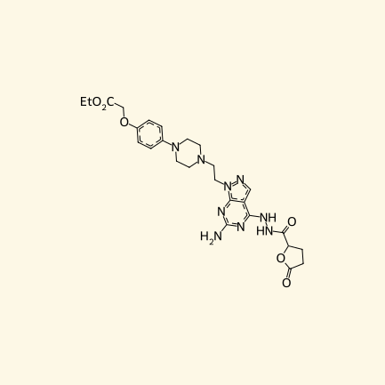 CCOC(=O)COc1ccc(N2CCN(CCn3ncc4c(NNC(=O)C5CCC(=O)O5)nc(N)nc43)CC2)cc1